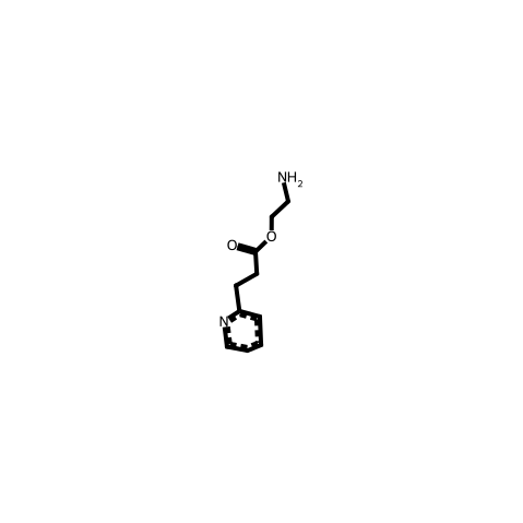 NCCOC(=O)CCc1ccccn1